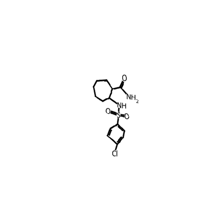 NC(=O)C1CCCCCC1NS(=O)(=O)c1ccc(Cl)cc1